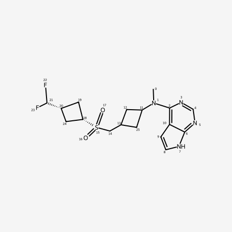 CN(c1ncnc2[nH]ccc12)C1CC(CS(=O)(=O)[C@H]2C[C@@H](C(F)F)C2)C1